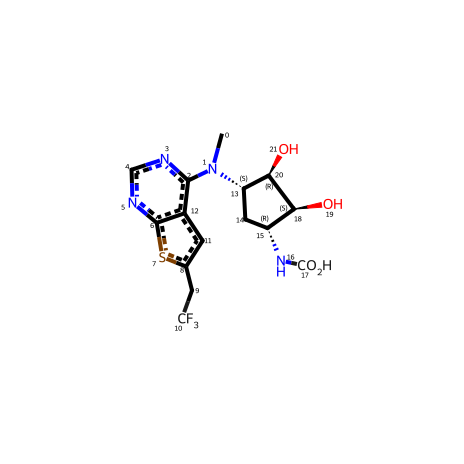 CN(c1ncnc2sc(CC(F)(F)F)cc12)[C@H]1C[C@@H](NC(=O)O)[C@H](O)[C@@H]1O